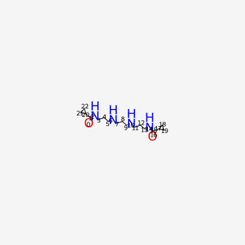 O=C(NCCCNCCCNCCCNC(=O)C1CC1)C1CC1